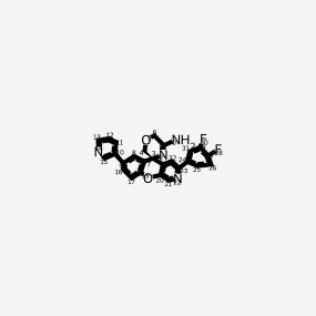 NC1=N[C@@]2(COC1)c1cc(-c3cccnc3)ccc1Oc1cnc(-c3ccc(F)c(F)c3)cc12